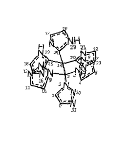 c1cn(C(n2ccnn2)(n2ccnn2)C(c2ncc[nH]2)(c2ncc[nH]2)c2ncc[nH]2)nn1